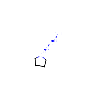 N/N=N/N=N/N1CCCCC1